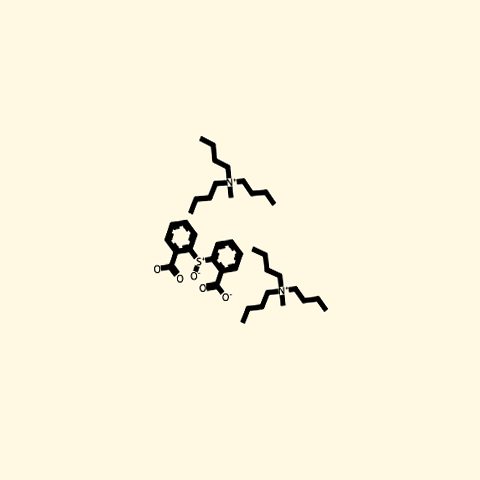 CCCC[N+](C)(CCCC)CCCC.CCCC[N+](C)(CCCC)CCCC.O=C([O-])c1ccccc1[S+]([O-])c1ccccc1C(=O)[O-]